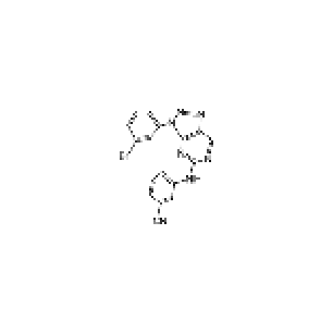 N#Cc1cccc(Nc2ncc3nnn(-c4cccc(Br)c4)c3n2)c1